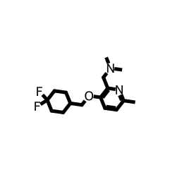 Cc1ccc(OCC2CCC(F)(F)CC2)c(CN(C)C)n1